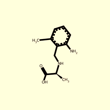 Cc1cccc(N)c1CN[C@@H](C)C(=O)O